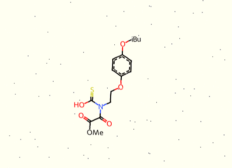 CCC(C)Oc1ccc(OCCN(C(=O)C(=O)OC)C(O)=S)cc1